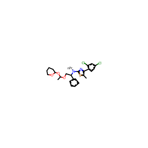 CCCN(c1nc(-c2ccc(Cl)cc2Cl)c(C)s1)C(COC(C)OC1CCCCO1)c1ccccc1